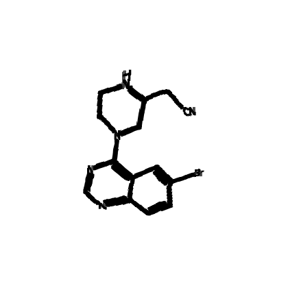 N#CCC1CN(c2ncnc3ccc(Br)cc23)CCN1